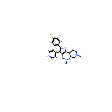 CN(C)Cc1c(C2CCN(C)CC2)[nH]c(-c2ccc(F)cc2)c1-c1ccncc1